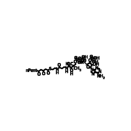 CCCCCC(=O)CC(=O)CC(=O)SCCNC(=O)CCNC(=O)[C@H](O)C(C)(C)COP(=O)(O)OP(=O)(O)OC[C@H]1O[C@@H](n2cnc3c(N)ncnc32)[C@H](O)[C@@H]1OP(=O)(O)O